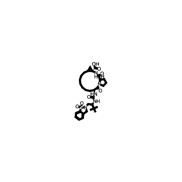 CC(C)(C)C(CN1Cc2ccccc2S1(=O)=O)NC(=O)N[C@H]1CCCCCCCC2C[C@@]2(C(=O)O)NC(=O)[C@@H]2CCCN2C1=O